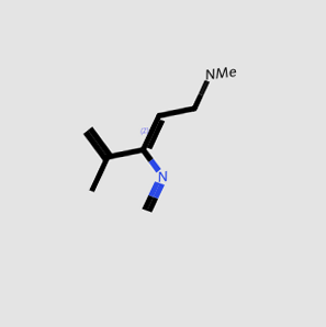 C=N/C(=C\CNC)C(=C)C